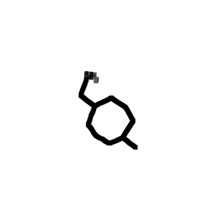 CC1CCCC(CN)CCC1